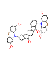 COc1ccc2c(c1)N(c1ccc3c(=O)c4cc5c(=O)c6c(N7c8cc(OC)ccc8Sc8ccc(OC)cc87)cccc6c5cc4c3c1)c1cc(OC)ccc1S2